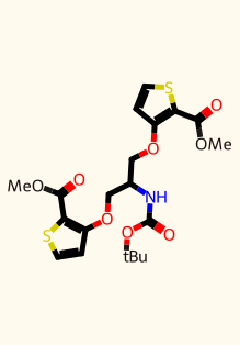 COC(=O)c1sccc1OCC(COc1ccsc1C(=O)OC)NC(=O)OC(C)(C)C